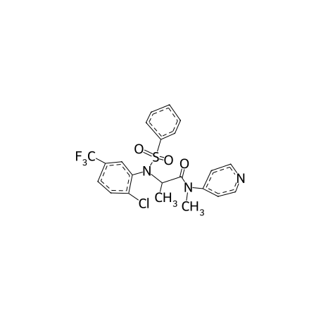 CC(C(=O)N(C)c1ccncc1)N(c1cc(C(F)(F)F)ccc1Cl)S(=O)(=O)c1ccccc1